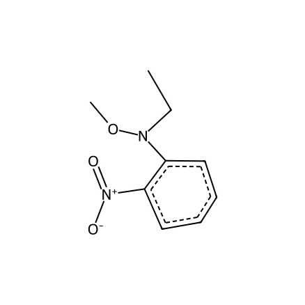 CCN(OC)c1ccccc1[N+](=O)[O-]